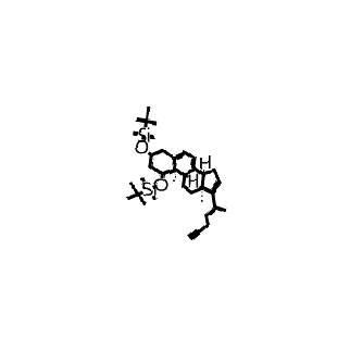 C#CCCC(C)C1=CC[C@H]2C3=CC=C4CC(O[Si](C)(C)C(C)(C)C)CC(O[Si](C)(C)C(C)(C)C)[C@]4(C)[C@H]3CC[C@]12C